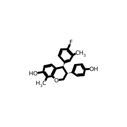 Cc1cc([C@H]2c3ccc(O)c(C)c3OC[C@H]2c2ccc(O)cc2)ccc1F